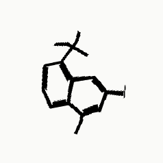 Cc1cc(I)cc2c(C(C)(C)C)cccc12